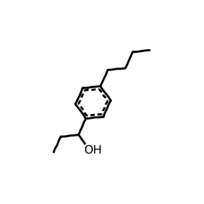 CCCCc1ccc(C(O)CC)cc1